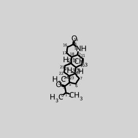 CC(C)C(=O)C1CC[C@H]2[C@@H]3CCC4NC(=O)CC[C@]4(C)[C@@H]3CC[C@]12C